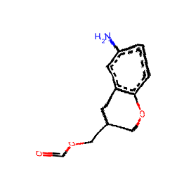 Nc1ccc2c(c1)CC(COC=O)CO2